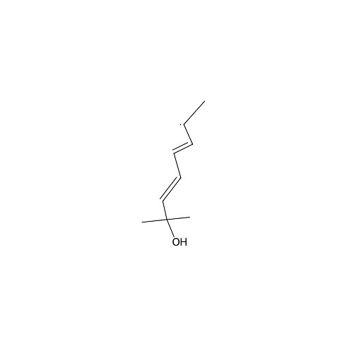 C[CH]/C=C/C=C/C(C)(C)O